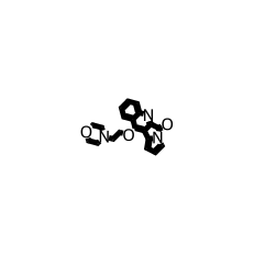 O=C1c2nc3ccccc3c(OCCN3CCOCC3)c2-c2cccn21